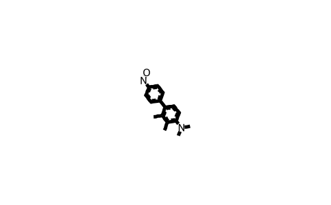 Cc1c(-c2ccc(N=O)cc2)ccc(N(C)C)c1C